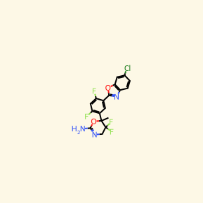 CC1(c2cc(-c3nc4ccc(Cl)cc4o3)c(F)cc2F)OC(N)=NCC1(F)F